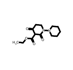 CCOC(=O)C1C(=O)CCN(N2CCCCC2)C1=O